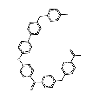 C=C(C)c1ccc(Cc2ccc(C(=O)c3ccc(Oc4ccc(-c5ccc(Cc6ccc(C)cc6)cc5)cc4)cc3)cc2)cc1